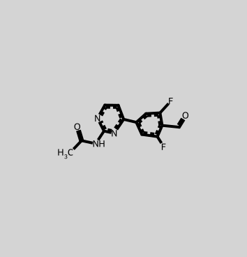 CC(=O)Nc1nccc(-c2cc(F)c(C=O)c(F)c2)n1